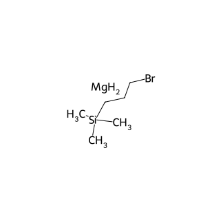 C[Si](C)(C)CCCBr.[MgH2]